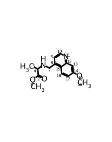 COC(=O)C(C)NCc1ccnc2cc(OC)ccc12